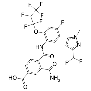 Cn1ccc(C(F)F)n1.NC(=O)c1cc(C(=O)O)ccc1C(=O)Nc1ccc(F)cc1OC(F)(F)C(F)C(F)(F)F